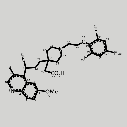 COc1ccc2ncc(C)c(C(F)CCC3(CC(=O)O)CCN(CCOc4c(F)cc(F)cc4F)CC3)c2c1